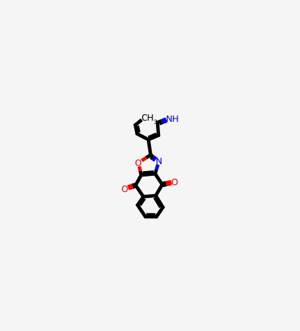 C/C=C\C(=C/C=N)c1nc2c(o1)C(=O)c1ccccc1C2=O